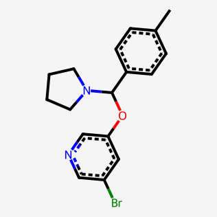 Cc1ccc(C(Oc2cncc(Br)c2)N2CCCC2)cc1